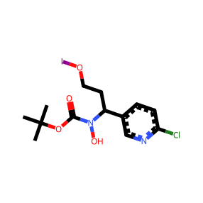 CC(C)(C)OC(=O)N(O)C(CCOI)c1ccc(Cl)nc1